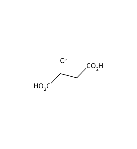 O=C(O)CCC(=O)O.[Cr]